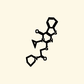 O=C(CSc1nc2sc3ccccc3c2c(=O)n1C1CC1)N1CCCCC1